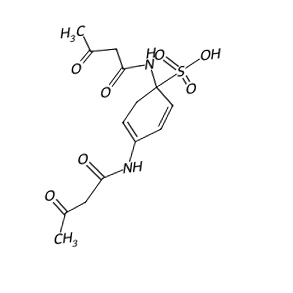 CC(=O)CC(=O)NC1=CCC(NC(=O)CC(C)=O)(S(=O)(=O)O)C=C1